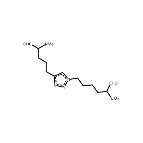 CNC(C=O)CCCCn1cc(CCCC(C=O)NC)nn1